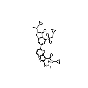 CC(C1CC1)N1Cc2cc(-c3ccn4nc(N)c(C(=O)NC5CC5)c4n3)cc(S(=O)(=O)CC3CC3)c2C1=O